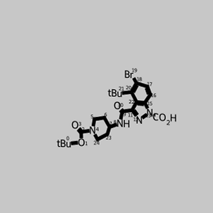 CC(C)(C)OC(=O)N1CCC(NC(=O)c2nn(C(=O)O)c3ccc(Br)c(C(C)(C)C)c23)CC1